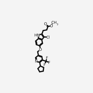 COC(=O)CCc1[nH]c2ccc(OCc3cnc(C4CCCC4)c(C(F)(F)F)c3)cc2c1Cl